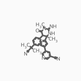 CN1C(=N)N[C@](C)(c2cc(-c3cncc(C#N)c3)cs2)C(c2ccc(C(C)(C)C#N)cc2)C1=O